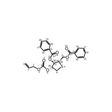 C=CCOC(=O)O[C@H]1CS[C@H](COC(=O)c2ccccc2)[C@@H]1OC(=O)c1ccccc1